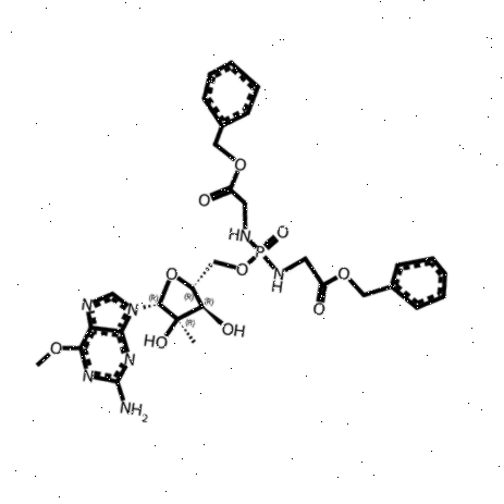 COc1nc(N)nc2c1ncn2[C@@H]1O[C@H](COP(=O)(NCC(=O)OCc2ccccc2)NCC(=O)OCc2ccccc2)[C@@H](O)[C@@]1(C)O